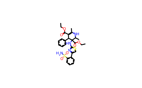 CCOC(=O)C1=C(C)NC(C)C(Nc2nc(-c3ccccc3S(N)(=O)=O)cs2)(C(=O)OCC)C1c1ccccc1